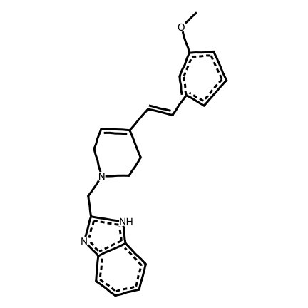 COc1cccc(C=CC2=CCN(Cc3nc4ccccc4[nH]3)CC2)c1